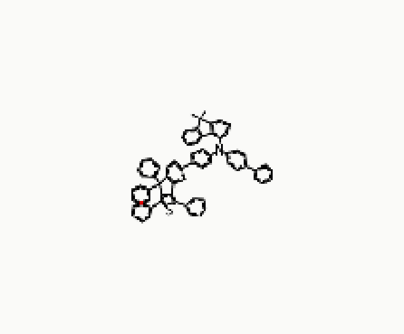 CC1(C)c2ccccc2-c2c(N(c3ccc(-c4ccccc4)cc3)c3ccc(-c4ccc5c(c4)-c4c(-c6ccccc6)sc(-c6ccccc6)c4C5(c4ccccc4)c4ccccc4)cc3)cccc21